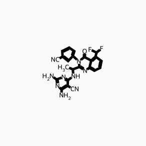 CC(Nc1nc(N)nc(N)c1C#N)c1nc2cccc(C(F)F)c2c(=O)n1-c1cccc(C#N)c1